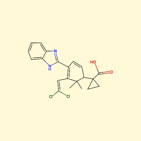 CC1(C)C(C=C(Cl)Cl)=C(c2nc3ccccc3[nH]2)C=CC1C1(C(=O)O)CC1